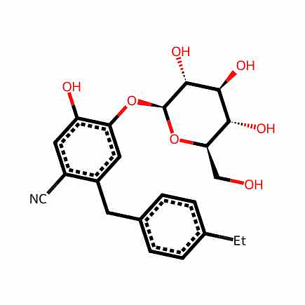 CCc1ccc(Cc2cc(O[C@@H]3O[C@H](CO)[C@@H](O)[C@H](O)[C@H]3O)c(O)cc2C#N)cc1